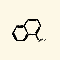 [SbH2][c]1cccc2ccccc12